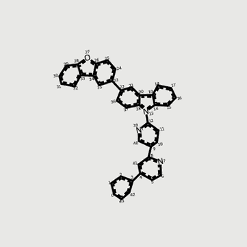 c1ccc(-c2ccnc(-c3ccc(-n4c5ccccc5c5cc(-c6ccc7oc8ccccc8c7c6)ccc54)nc3)c2)cc1